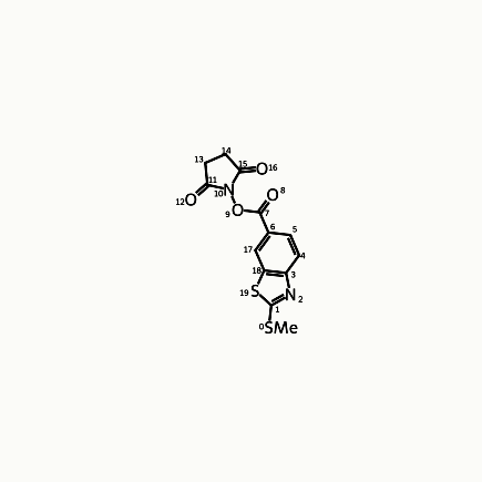 CSc1nc2ccc(C(=O)ON3C(=O)CCC3=O)cc2s1